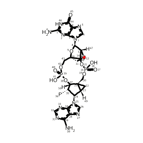 Nc1nc2c(ncn2[C@@H]2O[C@@]34CO[C@@H]2[C@@H]3OP(=O)(O)OC[C@@]23C[C@@H]2[C@@H](n2cnc5c(N)ncnc52)[C@H](F)[C@@H]3OP(=O)(O)OC4)c(=O)[nH]1